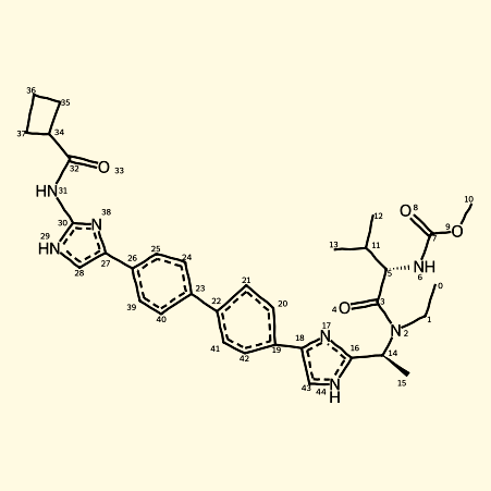 CCN(C(=O)[C@@H](NC(=O)OC)C(C)C)[C@@H](C)c1nc(-c2ccc(-c3ccc(-c4c[nH]c(NC(=O)C5CCC5)n4)cc3)cc2)c[nH]1